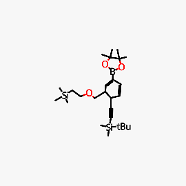 CC1(C)OB(C2=CC(COCC[Si](C)(C)C)C(C#C[Si](C)(C)C(C)(C)C)C=C2)OC1(C)C